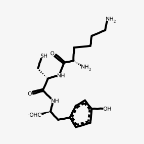 NCCCC[C@H](N)C(=O)N[C@@H](CS)C(=O)N[C@H]([C]=O)Cc1ccc(O)cc1